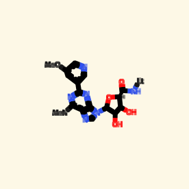 CCNC(=O)[C@@H]1OC(n2cnc3c(NC)nc(-c4cncc(OC)c4)nc32)C(O)C1O